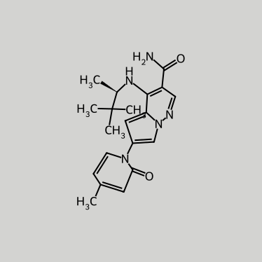 Cc1ccn(-c2cc3c(N[C@H](C)C(C)(C)C)c(C(N)=O)cnn3c2)c(=O)c1